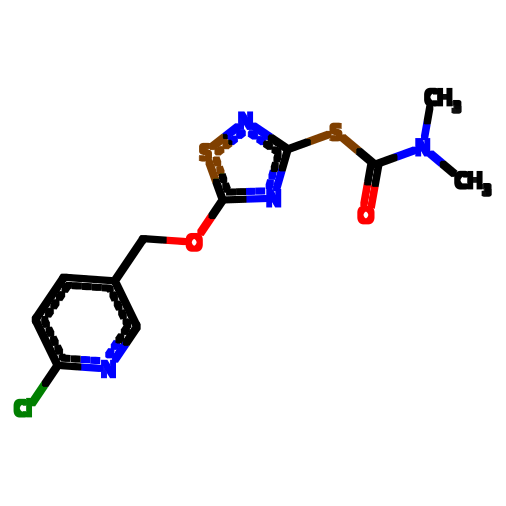 CN(C)C(=O)Sc1nsc(OCc2ccc(Cl)nc2)n1